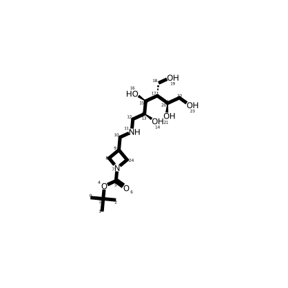 CC(C)(C)OC(=O)N1CC(CNC[C@H](O)[C@@H](O)[C@H](CO)[C@H](O)CO)C1